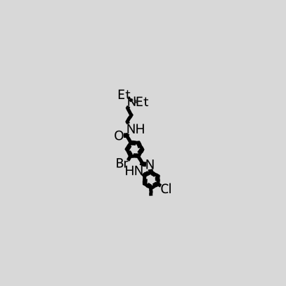 CCN(CC)CCCNC(=O)c1ccc(-c2nc3cc(Cl)c(C)cc3[nH]2)c(Br)c1